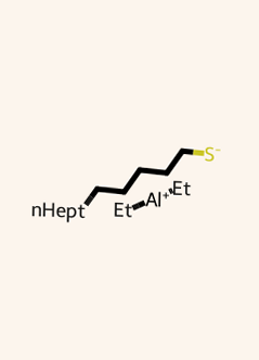 CCCCCCCCCCCC[S-].C[CH2][Al+][CH2]C